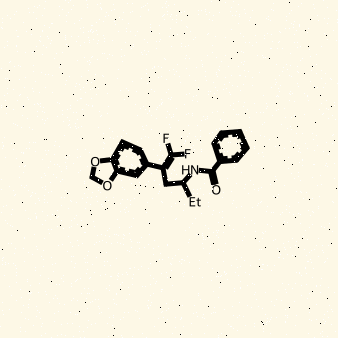 CCC(CC(=C(F)F)c1ccc2c(c1)OCO2)NC(=O)c1ccccc1